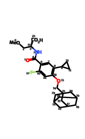 COC[C@H](NC(=O)c1cc(C2CC2)c(OCC23CC4CC(CC(C4)C2)C3)cc1F)C(=O)O